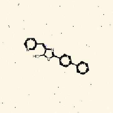 OC1OC(c2ccc(-c3ccccc3)cc2)=N/C1=C/c1cccnc1